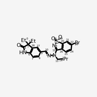 CCC1(CC)C(=O)Nc2ccc(/C=N/N(CC(C)C)C3=NS(=O)(=O)c4cc(Br)ccc43)cc21